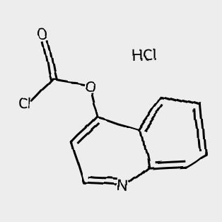 Cl.O=C(Cl)Oc1ccnc2ccccc12